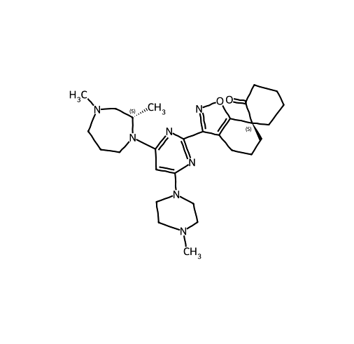 C[C@H]1CN(C)CCCN1c1cc(N2CCN(C)CC2)nc(-c2noc3c2CCC[C@@]32CCCCC2=O)n1